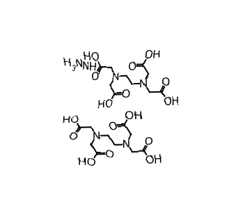 N.N.O=C(O)CN(CCN(CC(=O)O)CC(=O)O)CC(=O)O.O=C(O)CN(CCN(CC(=O)O)CC(=O)O)CC(=O)O